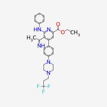 CCOC(=O)c1cc(-c2ccc(N3CCN(CCC(F)(F)F)CC3)cc2)c(C(C)=N)c(Nc2ccccc2)n1